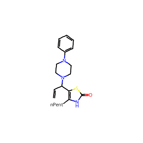 C=CC(c1sc(=O)[nH]c1CCCCC)N1CCN(c2ccccc2)CC1